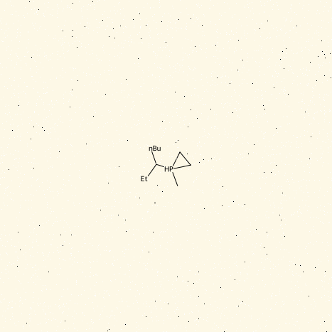 CCCCC(CC)[PH]1(C)CC1